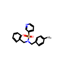 CCCCc1ccc(CN(Cc2c[c]ccc2)S(=O)(=O)c2cccnc2)cc1